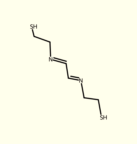 SCCN=CC=NCCS